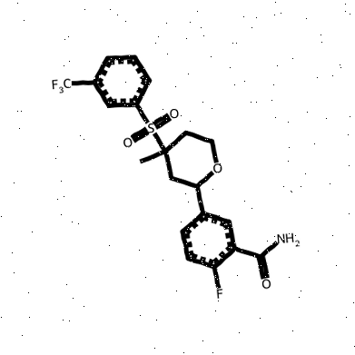 CC1(S(=O)(=O)c2cccc(C(F)(F)F)c2)CCOC(c2ccc(F)c(C(N)=O)c2)C1